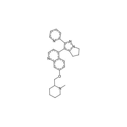 CN1CCCCC1COc1ccc2c(-c3c(-c4ccccn4)nn4c3CCC4)ccnc2c1